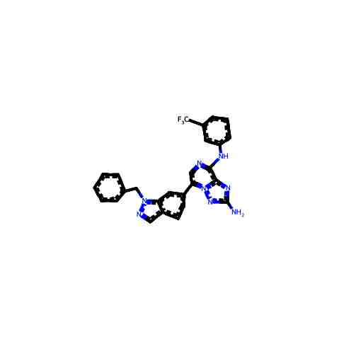 Nc1nc2c(Nc3cccc(C(F)(F)F)c3)ncc(-c3ccc4cnn(Cc5ccccc5)c4c3)n2n1